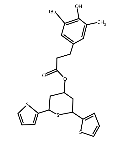 Cc1cc(CCC(=O)OC2CC(c3cccs3)SC(c3cccs3)C2)cc(C(C)(C)C)c1O